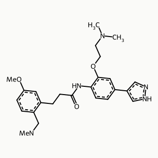 CNCc1ccc(OC)cc1CCC(=O)Nc1ccc(-c2cn[nH]c2)cc1OCCN(C)C